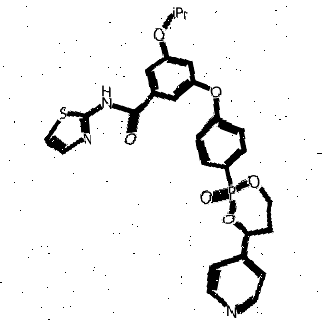 CC(C)Oc1cc(Oc2ccc(P3(=O)OCCC(c4ccncc4)O3)cc2)cc(C(=O)Nc2nccs2)c1